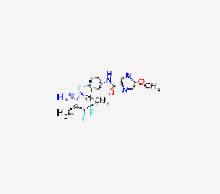 COc1cnc(C(=O)Nc2ccc(F)c([C@@]3(C)N=C(N)[C@H](C)C(F)C3(F)F)c2)cn1